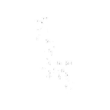 Cn1c(=O)n(CCN2CCN(c3ccc([S@+](C)[O-])cc3F)CC2)c2nc(N)n3nc(-c4ccco4)nc3c21